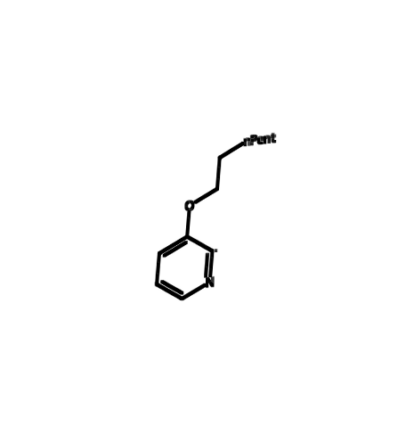 CCCCCCCOc1[c]nccc1